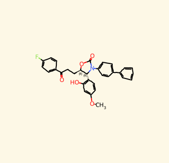 COc1ccc([C@@H]2[C@@H](CCC(=O)c3ccc(F)cc3)OC(=O)N2c2ccc(-c3ccccc3)cc2)c(O)c1